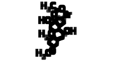 CO[C@H]1CC[C@@]2(C)C(=C[C@H](O)C3C4C[C@@H](Br)[C@H](OC(C)=O)[C@@]4(CO)CCC32)C1